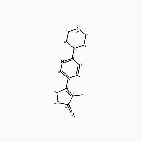 CC1=C(c2ccc(N3CCNCC3)nc2)COC1=O